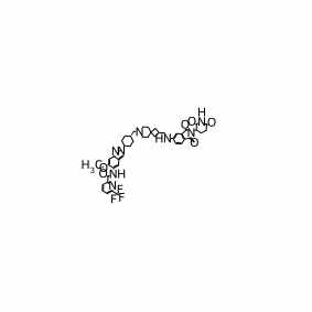 COc1cc2nn([C@H]3CC[C@H](CN4CCC5(CC4)CC(CNc4ccc6c(c4)C(=O)N(C4CCC(=O)NC4=O)C6=O)C5)CC3)cc2cc1NC(=O)c1cccc(C(F)(F)F)n1